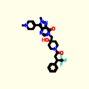 CN1CC=C(c2c3ncn(CC4(O)CCN(C(=O)CC(c5ccccc5)C(F)(F)F)CC4)c(=O)c3nn2C)CC1